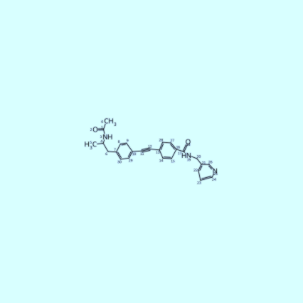 CC(=O)NC(C)Cc1ccc(C#Cc2ccc(C(=O)NCc3cccnc3)cc2)cc1